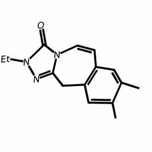 CCn1nc2n(c1=O)C=Cc1cc(C)c(C)cc1C2